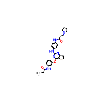 C=CC(=O)Nc1cccc(Oc2nc(Nc3ccc(NC(=O)CCN4CCCC4)cc3)nc3ccsc23)c1